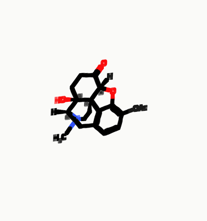 CC(=O)Oc1ccc2c3c1O[C@H]1C(=O)CC[C@@]4(O)[C@@H](C2)N(C)CC[C@]314